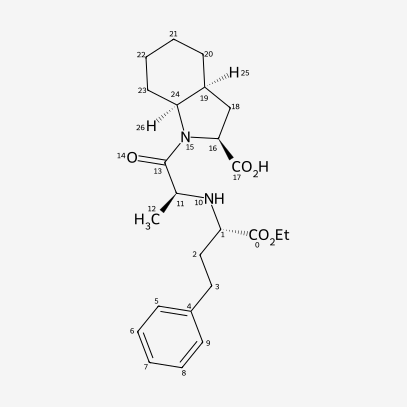 CCOC(=O)[C@H](CCc1ccccc1)N[C@@H](C)C(=O)N1[C@H](C(=O)O)C[C@@H]2CCCC[C@@H]21